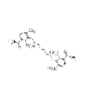 NC(=O)c1ccc(C(=O)O)c(CCCCCCCCc2c(C(=O)O)ccc(C(N)=O)c2C(=O)O)c1C(=O)O